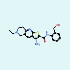 CCN1CCc2nc3sc(C(=O)Nc4ccccc4CO)c(N)c3cc2C1